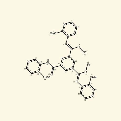 COc1ccccc1/N=C(\OC(C)C)c1cc(C(=O)Nc2ccccc2OC)cc(/C(=N/c2ccccc2OC)OC(C)C)c1